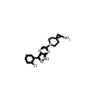 NC1CC12CCN(c1cnc3c(-c4ccccc4Cl)n[nH]c3n1)CC2